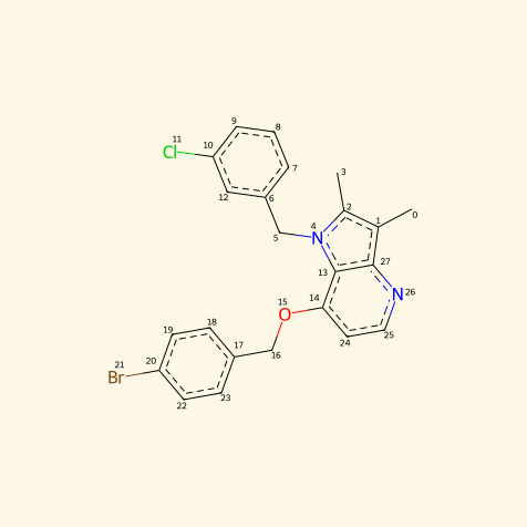 Cc1c(C)n(Cc2cccc(Cl)c2)c2c(OCc3ccc(Br)cc3)ccnc12